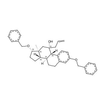 C=CC[C@]1(O)C[C@]2(C)[C@@H](OCc3ccccc3)CC[C@H]2[C@@H]2CCc3cc(OCc4ccccc4)ccc3[C@H]21